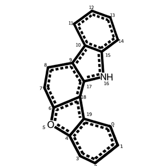 [c]1cccc2oc3ccc4c5ccccc5[nH]c4c3c12